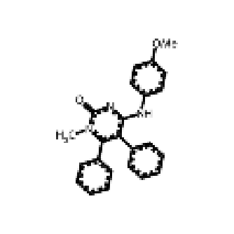 COc1ccc(Nc2nc(=O)n(C)c(-c3ccccc3)c2-c2ccccc2)cc1